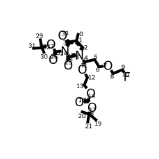 Cc1cn(C(CCOCCF)OCCOC(=O)OC(C)(C)C)c(=O)n(C(=O)OC(C)(C)C)c1=O